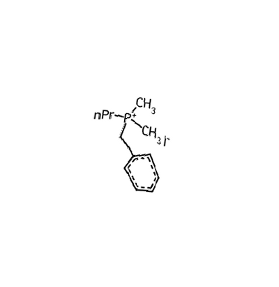 CCC[P+](C)(C)Cc1ccccc1.[I-]